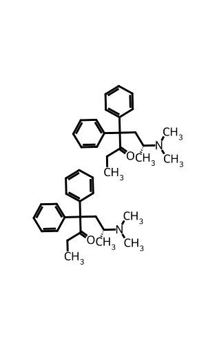 CCC(=O)C(C[C@@H](C)N(C)C)(c1ccccc1)c1ccccc1.CCC(=O)C(C[C@@H](C)N(C)C)(c1ccccc1)c1ccccc1